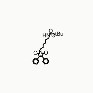 CC(C)(C)OC(=O)NCCCCCCN1C(=O)C(c2ccccc2)=C(c2ccccc2)C1=O